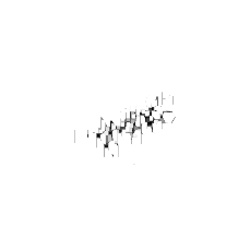 CCOc1nc(N)nc2c1ncn2[C@@H]1O[C@@H]2C(OP(=O)(N[C@H](C)C(=O)OC(C)C)Oc3ccccc3)[C@]2(CF)[C@H]1O